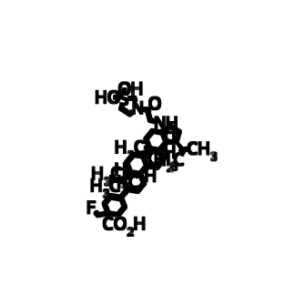 C=C(C)[C@@H]1CC[C@]2(NCC(=O)N3CCS(O)(O)C3)CC[C@]3(C)[C@H](CC[C@@H]4[C@@]5(C)CC=C(C6=CC[C@](CF)(C(=O)O)CC6)C(C)(C)[C@@H]5CC[C@]43C)[C@@H]12